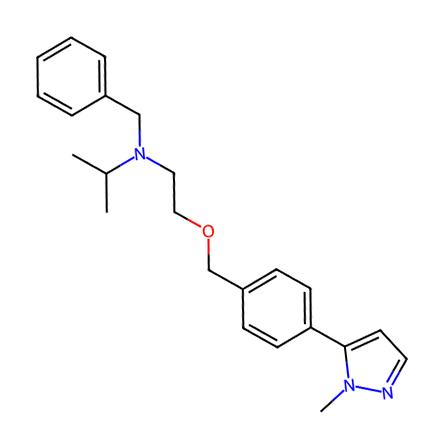 CC(C)N(CCOCc1ccc(-c2ccnn2C)cc1)Cc1ccccc1